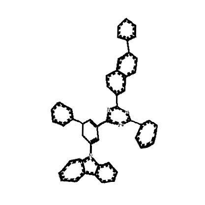 C1=C(c2nc(-c3ccccc3)nc(-c3ccc4cc(-c5ccccc5)ccc4c3)n2)C=C(n2c3ccccc3c3ccccc32)CC1c1ccccc1